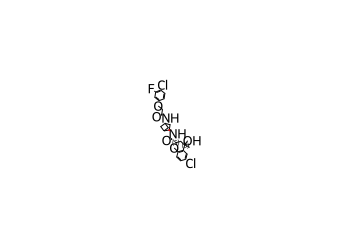 C[C@]1(O)C[C@@H](C(=O)NC2CC3(NC(=O)COc4ccc(Cl)c(F)c4)CC2C3)Oc2ccc(Cl)cc21